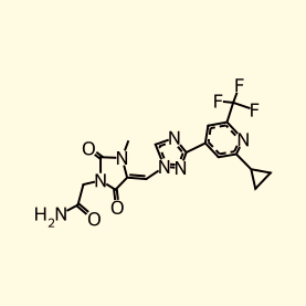 CN1C(=O)N(CC(N)=O)C(=O)C1=Cn1cnc(-c2cc(C3CC3)nc(C(F)(F)F)c2)n1